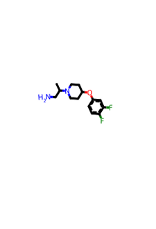 CC(CN)N1CCC(Oc2ccc(F)c(F)c2)CC1